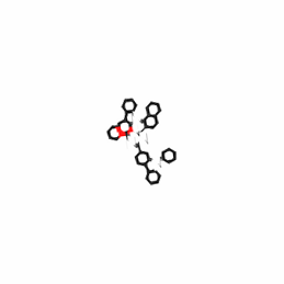 c1ccc(-c2nc(-c3ccc4c5ccccc5n(-c5ccccc5)c4c3)nc(-c3ccc4ccccc4c3-n3c4ccccc4c4ccccc43)n2)cc1